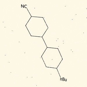 CCCCC1CCC(C2C[CH]C(C#N)CC2)CC1